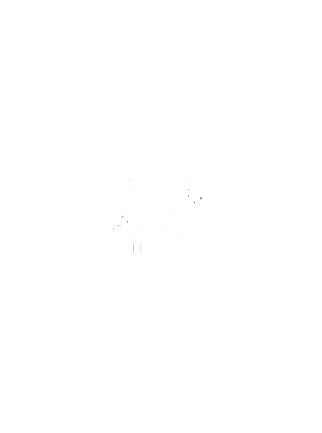 C[C@@](CCCl)(N=C=S)c1cc([N+](=O)[O-])ccc1F